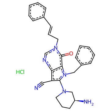 Cl.N#Cc1c(N2CCC[C@H](N)C2)n(Cc2ccccc2)c2c(=O)n(C/C=C/c3ccccc3)cnc12